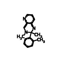 Cc1ccccc1C1(C)N=c2cccnc2=CN1C